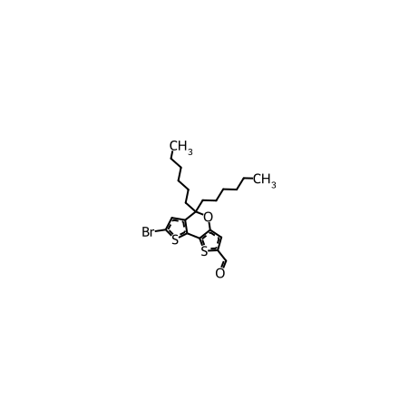 CCCCCCC1(CCCCCC)Oc2cc(C=O)sc2-c2sc(Br)cc21